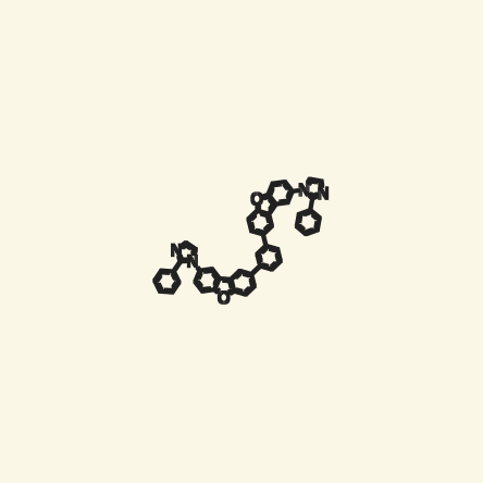 c1ccc(-c2nccn2-c2ccc3oc4ccc(-c5cccc(-c6ccc7oc8ccc(-n9ccnc9-c9ccccc9)cc8c7c6)c5)cc4c3c2)cc1